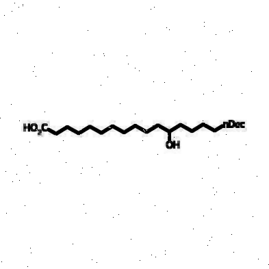 CCCCCCCCCCCCCCC(O)CCCCCCCCCCC(=O)O